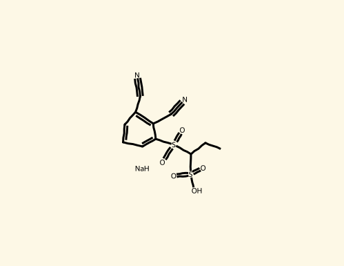 CCC(S(=O)(=O)O)S(=O)(=O)c1cccc(C#N)c1C#N.[NaH]